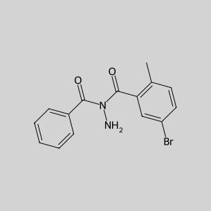 Cc1ccc(Br)cc1C(=O)N(N)C(=O)c1ccccc1